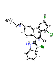 CC/C(=C(/c1ccc(/C=C/C(=O)O)cc1)c1[nH]c2ccccc2c1Br)c1ccc(F)cc1Cl